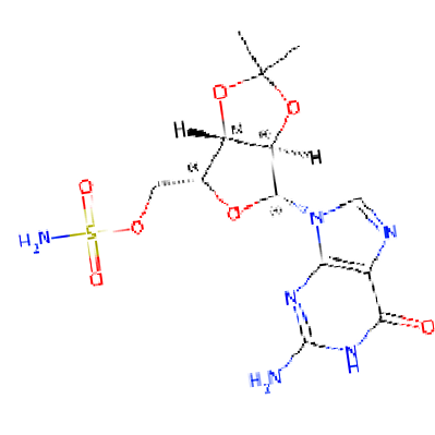 CC1(C)O[C@@H]2[C@@H](O1)[C@@H](COS(N)(=O)=O)O[C@H]2n1cnc2c(=O)[nH]c(N)nc21